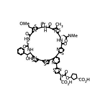 CNC(=O)C[C@@H]1NC(=O)c2csc(n2)-c2ccc(-c3nc(N(CC(=O)O)C(=O)O[C@H]4CC[C@H](C(=O)O)C4)cs3)nc2-c2csc(n2)-c2csc(n2)[C@H]([C@@H](O)c2ccccc2)NC(=O)CNC(=O)c2nc(sc2COC)C(C(C)C)NC(=O)c2nc1sc2C